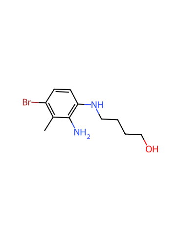 Cc1c(Br)ccc(NCCCCO)c1N